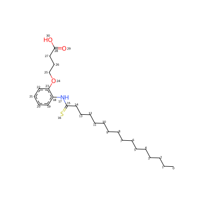 CCCCCCCCCCCCCCCC(=S)Nc1ccccc1OCCCC(=O)O